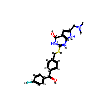 CN(C)Cc1cc2c(=O)[nH]c(SCc3ccc(C(=O)c4ccc(F)cc4)cc3)nc2[nH]1